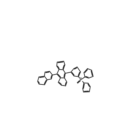 C=P(c1ccccc1)(c1ccccc1)c1cccc(-c2c3ccccc3c(-c3ccc4ccccc4c3)c3ccccc23)c1